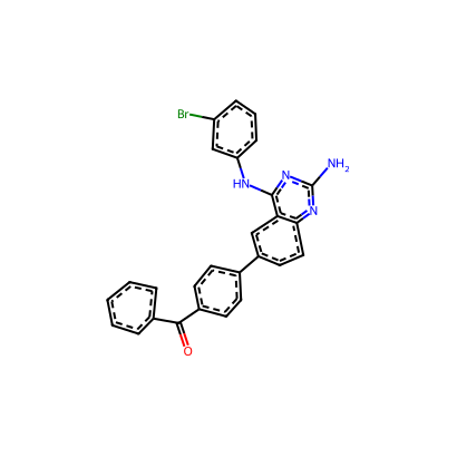 Nc1nc(Nc2cccc(Br)c2)c2cc(-c3ccc(C(=O)c4ccccc4)cc3)ccc2n1